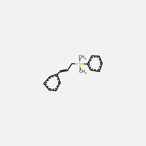 CS(C)(C/C=C/c1ccccc1)c1ccccc1